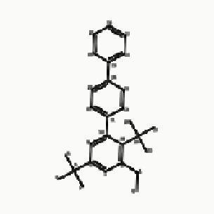 CCc1cc(C(C)(C)C)cc(-c2ccc(-c3ccccc3)cc2)c1C(C)(C)C